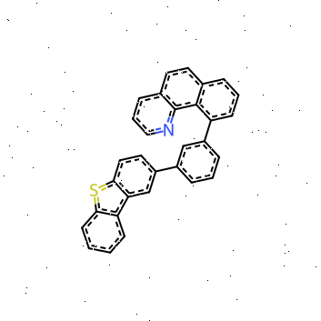 c1cc(-c2ccc3sc4ccccc4c3c2)cc(-c2cccc3ccc4cccnc4c23)c1